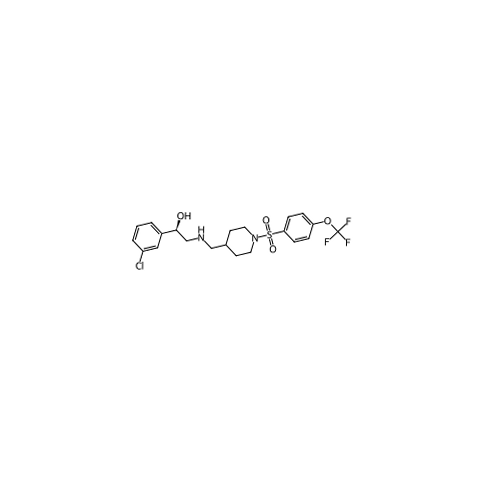 O=S(=O)(c1ccc(OC(F)(F)F)cc1)N1CCC(CNC[C@H](O)c2cccc(Cl)c2)CC1